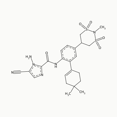 CN1S(=O)(=O)CC(c2ccc(NC(=O)c3ncc(C#N)n3N)c(C3=CCC(C)(C)CC3)c2)CS1(=O)=O